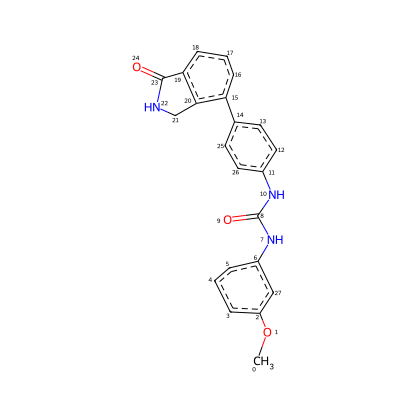 COc1cccc(NC(=O)Nc2ccc(-c3cccc4c3CNC4=O)cc2)c1